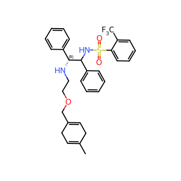 CC1=CCC(COCCN[C@H](c2ccccc2)C(NS(=O)(=O)c2ccccc2C(F)(F)F)c2ccccc2)=CC1